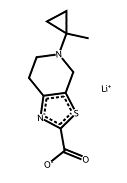 CC1(N2CCc3nc(C(=O)[O-])sc3C2)CC1.[Li+]